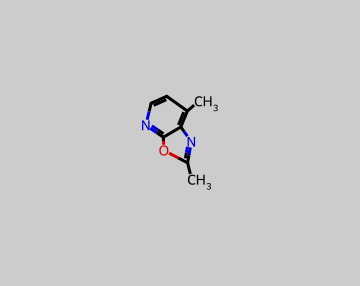 Cc1nc2c(C)ccnc2o1